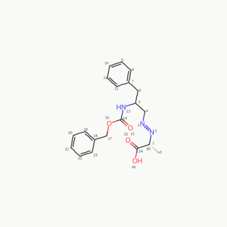 C[C@@H](N=NCC(Cc1ccccc1)NC(=O)OCc1ccccc1)C(=O)O